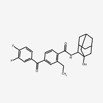 CCc1cc(C(=O)c2ccc(F)c(F)c2)ccc1C(=O)NC1C2CC3CC(C2)CC1(O)C3